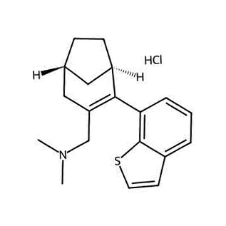 CN(C)CC1=C(c2cccc3ccsc23)[C@@H]2CC[C@@H](C1)C2.Cl